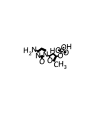 CC1=C(OP(=O)(O)O)C[C@H](n2ccc(N)nc2=O)O1